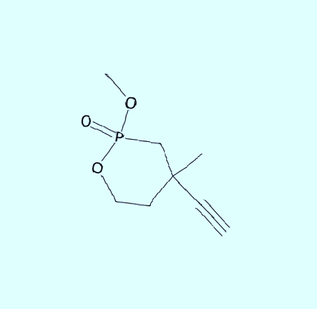 C#CC1(C)CCOP(=O)(OC)C1